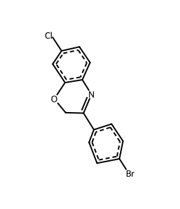 Clc1ccc2c(c1)OCC(c1ccc(Br)cc1)=N2